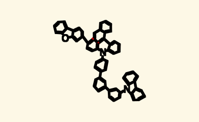 c1cc(-c2ccc(N(c3ccc(-c4ccc5c(c4)oc4ccccc45)cc3)c3ccccc3-c3cccc4ccccc34)cc2)cc(-c2cccc(-n3c4ccccc4c4ccccc43)c2)c1